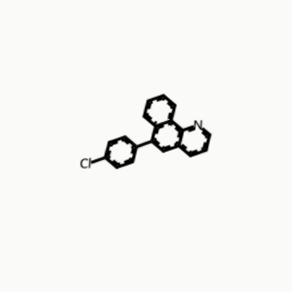 Clc1ccc(-c2cc3cccnc3c3ccccc23)cc1